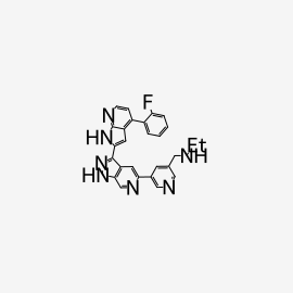 CCNCc1cncc(-c2cc3c(-c4cc5c(-c6ccccc6F)ccnc5[nH]4)n[nH]c3cn2)c1